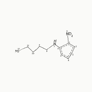 O=[N+]([O-])c1ccccc1NCCCCS